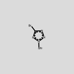 CCCn1nnc(Br)n1